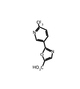 O=C(O)c1cnc(-c2ccc(C(F)(F)F)nc2)o1